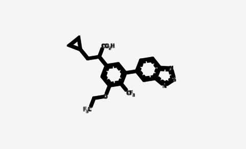 O=C(O)C(CC1CC1)c1cc(OCC(F)(F)F)c(C(F)(F)F)c(-c2ccc3nsnc3c2)c1